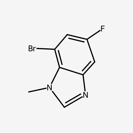 Cn1cnc2cc(F)cc(Br)c21